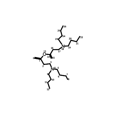 C=C(CCN(CCCC)CCCC)OC(=C)CCN(CCCC)CCCC